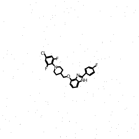 Fc1ccc(-c2nc3c(OCC4CCN(c5c(F)cc(Cl)cc5F)CC4)cccc3[nH]2)cc1